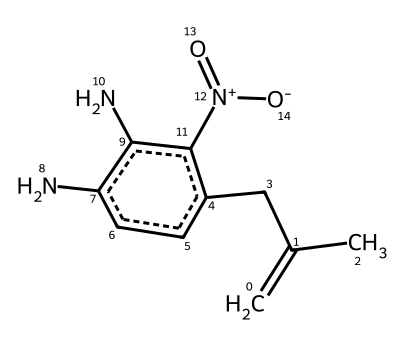 C=C(C)Cc1ccc(N)c(N)c1[N+](=O)[O-]